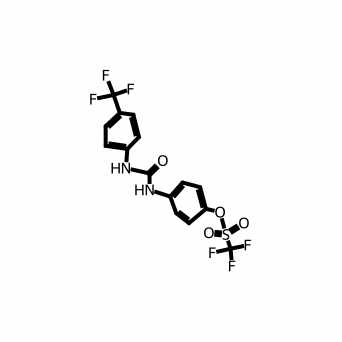 O=C(Nc1ccc(OS(=O)(=O)C(F)(F)F)cc1)Nc1ccc(C(F)(F)F)cc1